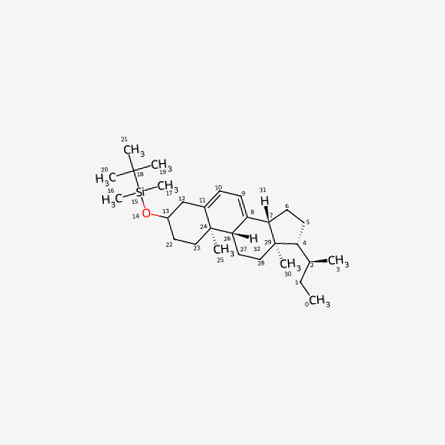 CC[C@H](C)[C@H]1CC[C@H]2C3=CC=C4CC(O[Si](C)(C)C(C)(C)C)CC[C@]4(C)[C@H]3CC[C@]12C